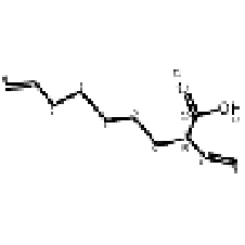 C=CCCCCC[C@H](C=C)C(=O)O